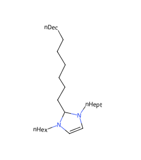 CCCCCCCCCCCCCCCCC1N(CCCCCC)C=CN1CCCCCCC